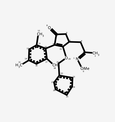 CON=C(C)CC1CC(=O)C(c2c(C)cc(C)cc2C)=C1OCc1ccccc1